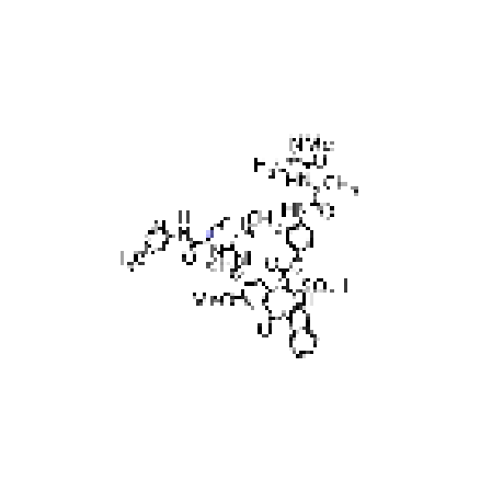 C=CCC(NOc1cc2c(cc1OC)C(=O)N1c3ccccc3C[C@H]1C(S(=O)(=O)O)N2C(=O)Oc1ccc(NC(=O)[C@@H](C)NC(=O)[C@@H](C)NC)cc1)N(C)/C(=C\C)C(=O)Nc1cn(C)cn1